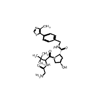 Cc1ncsc1-c1ccc(CNC(=O)[C@@H]2C[C@@H](O)CN2C(=O)C(NC(=O)CN)C(C)(C)C)cc1